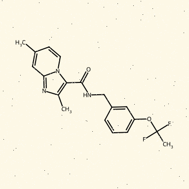 Cc1ccn2c(C(=O)NCc3cccc(OC(C)(F)F)c3)c(C)nc2c1